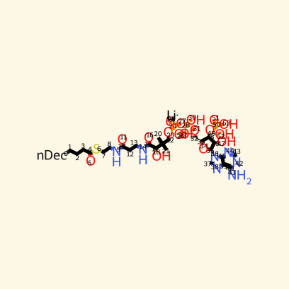 CCCCCCCCCCCCCC(=O)SCCNC(=O)CCNC(=O)[C@H](O)C(C)(C)COP(=O)(O)OP(=O)(O)OC[C@H]1O[C@@H](n2cnc3c(N)ncnc32)[C@H](O)[C@@H]1OP(=O)(O)O.[Li]